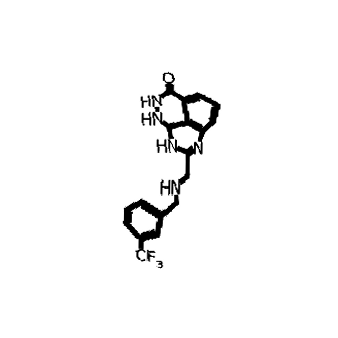 O=C1NNC2NC(CNCc3cccc(C(F)(F)F)c3)=Nc3cccc1c32